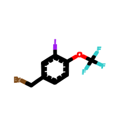 FC(F)(F)Oc1ccc(CBr)cc1I